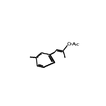 CC(=O)O/C(C)=C/c1cccc(C)c1